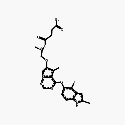 CCC(=O)CCC(=O)O[C@H](C)COc1cn2ncnc(Oc3ccc4[nH]c(C)cc4c3F)c2c1C